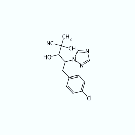 CC(C)(C#N)C(O)C(Cc1ccc(Cl)cc1)n1cncn1